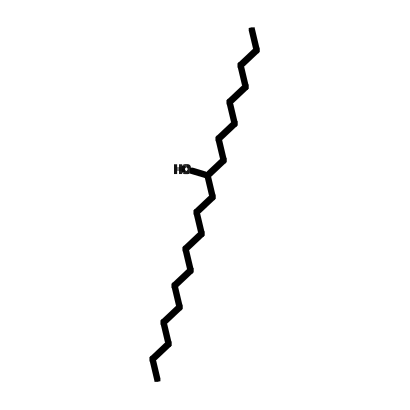 CCCCCCCCCCCC(O)CCCCCCCC